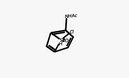 CC(=O)Nc1ccc2cc1[SH]2(=O)Cl